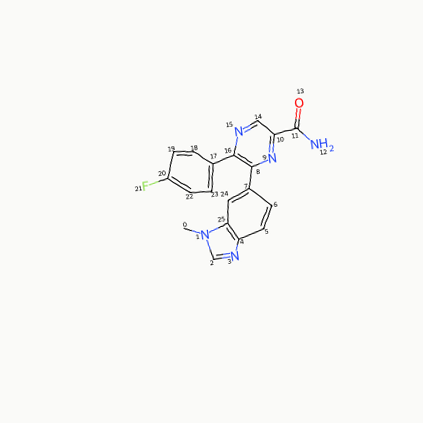 Cn1cnc2ccc(-c3nc(C(N)=O)cnc3-c3ccc(F)cc3)cc21